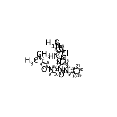 CN(C)CC=CC(=O)N1CCC(N2C(=O)N(Cc3ccccc3)Cc3cnc(Nc4cn(C)nc4Cl)nc32)C1